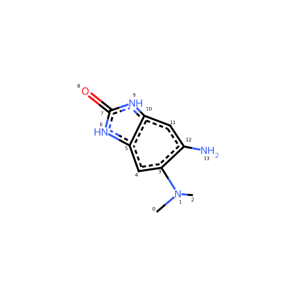 CN(C)c1cc2[nH]c(=O)[nH]c2cc1N